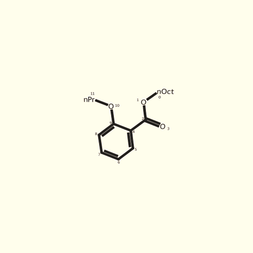 CCCCCCCCOC(=O)c1ccccc1OCCC